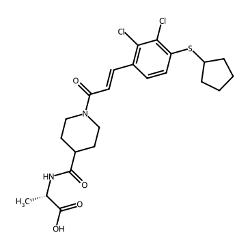 C[C@H](NC(=O)C1CCN(C(=O)/C=C/c2ccc(SC3CCCC3)c(Cl)c2Cl)CC1)C(=O)O